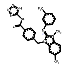 Cn1/c(=N\c2cccc(C(F)(F)F)c2)n(Cc2ccc(C(=O)Nc3nnn[nH]3)cc2)c2cc(C(F)(F)F)ccc21